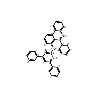 c1ccc(-c2cc(-c3ccccc3)nc(N3c4ccccc4-c4nc5ccccc5c5cccc3c45)n2)cc1